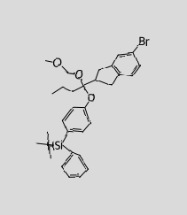 CCCC(OCOC)(Oc1ccc([SiH](c2ccccc2)C(C)(C)C)cc1)C1Cc2ccc(Br)cc2C1